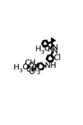 Cn1c(-c2ccc(NC3CCN(C(=O)OC(C)(C)C)CC3)cc2Cl)nnc1C1(c2ccccc2)CC1